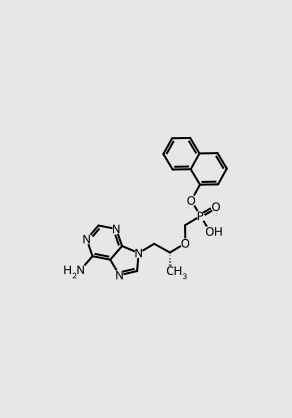 C[C@H](Cn1cnc2c(N)ncnc21)OCP(=O)(O)Oc1cccc2ccccc12